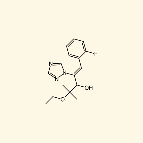 CCOC(C)(C)C(O)C(=Cc1ccccc1F)n1cncn1